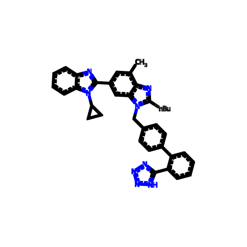 CCCCc1nc2c(C)cc(-c3nc4ccccc4n3C3CC3)cc2n1Cc1ccc(-c2ccccc2-c2nnn[nH]2)cc1